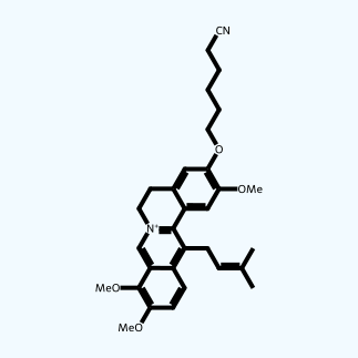 COc1cc2c(cc1OCCCCCC#N)CC[n+]1cc3c(OC)c(OC)ccc3c(CC=C(C)C)c1-2